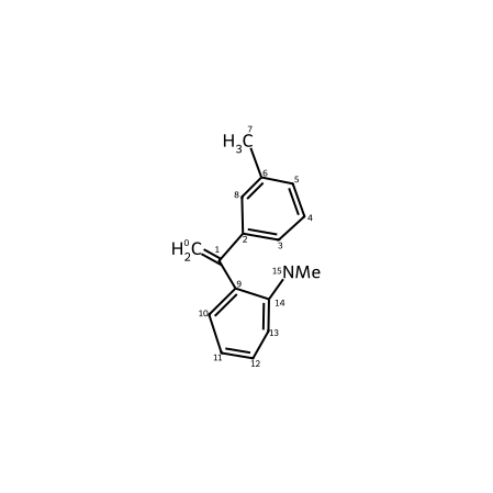 C=C(c1cccc(C)c1)c1ccccc1NC